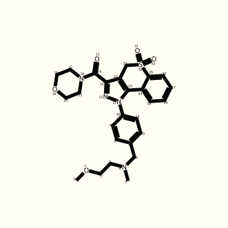 COCCN(C)Cc1ccc(-n2nc(C(=O)N3CCOCC3)c3c2-c2ccccc2S(=O)(=O)C3)cc1